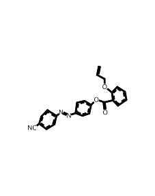 C=CCOc1ccccc1C(=O)Oc1ccc(/N=N/c2ccc(C#N)cc2)cc1